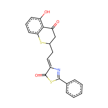 O=C1SC(c2ccccc2)=NC1=CCC1CC(=O)c2c(O)cccc2S1